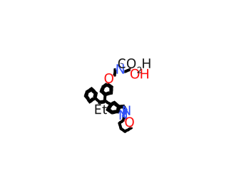 CC/C(=C(/c1ccc(OCCN(CCO)C(=O)O)cc1)c1ccc2c(cnn2C2CCCCO2)c1)c1ccccc1